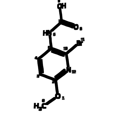 COc1ccc(NC(=O)O)c(Br)n1